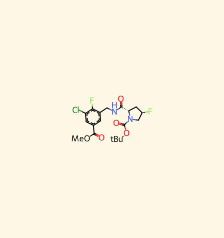 COC(=O)c1cc(Cl)c(F)c(CNC(=O)[C@@H]2C[C@@H](F)CN2C(=O)OC(C)(C)C)c1